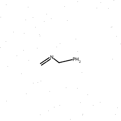 C=NCP